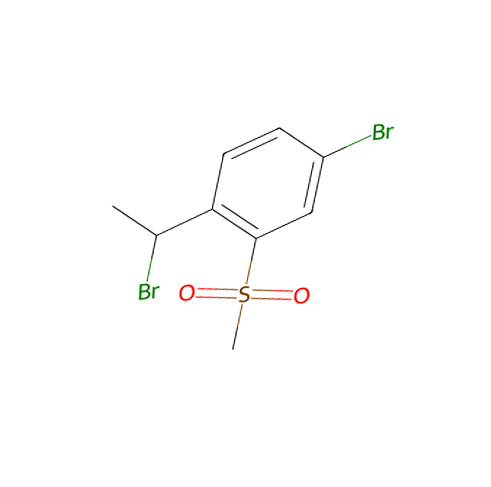 CC(Br)c1ccc(Br)cc1S(C)(=O)=O